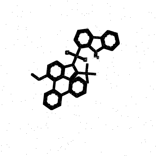 CCc1ccc2c(c1-c1ccccc1-c1ccccc1)C=C(C(C)(C)C)[CH]2[Zr]([Cl])([Cl])[c]1cccc2c1[SiH2]c1ccccc1-2